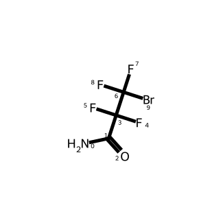 NC(=O)C(F)(F)C(F)(F)Br